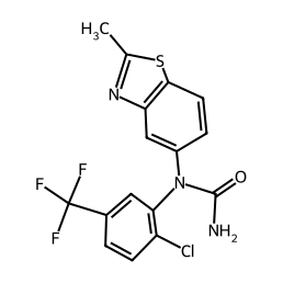 Cc1nc2cc(N(C(N)=O)c3cc(C(F)(F)F)ccc3Cl)ccc2s1